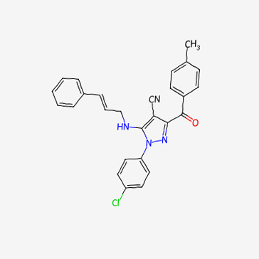 Cc1ccc(C(=O)c2nn(-c3ccc(Cl)cc3)c(NC/C=C/c3ccccc3)c2C#N)cc1